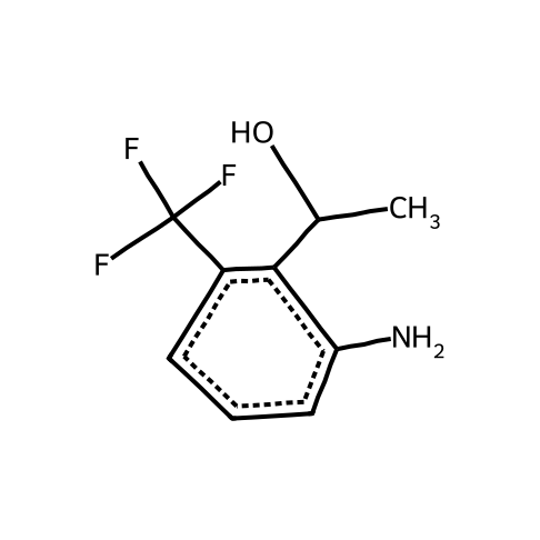 CC(O)c1c(N)cccc1C(F)(F)F